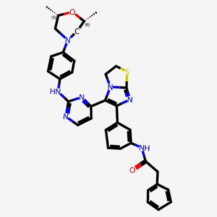 C[C@@H]1CN(c2ccc(Nc3nccc(-c4c(-c5cccc(NC(=O)Cc6ccccc6)c5)nc5n4CCS5)n3)cc2)C[C@H](C)O1